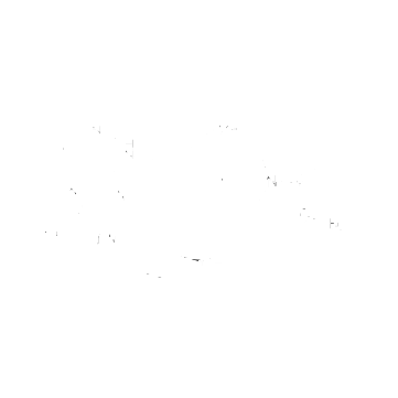 CCc1nc(C(N)=O)c(Nc2ccc(N3CCN(C(=O)OC(C)(C)C)CC3)c(OC)c2)nc1N[C@H]1CC[C@H](O)CC1